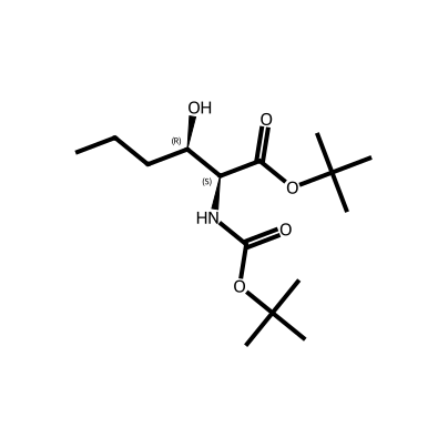 CCC[C@@H](O)[C@H](NC(=O)OC(C)(C)C)C(=O)OC(C)(C)C